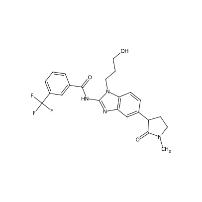 CN1CCC(c2ccc3c(c2)nc(NC(=O)c2cccc(C(F)(F)F)c2)n3CCCO)C1=O